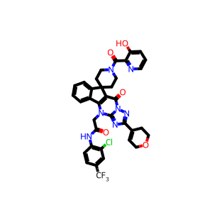 O=C(Cn1c2c(c(=O)n3nc(C4=CCOCC4)nc13)C1(CCN(C(=O)c3ncccc3O)CC1)c1ccccc1-2)Nc1ccc(C(F)(F)F)cc1Cl